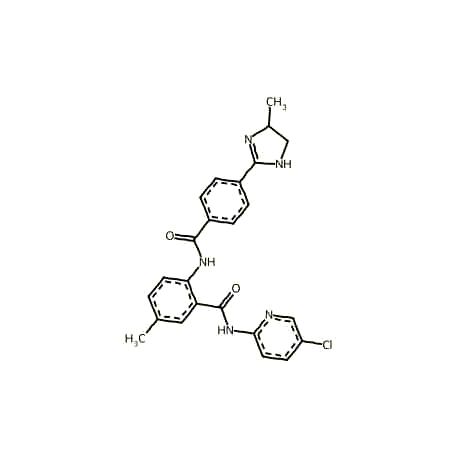 Cc1ccc(NC(=O)c2ccc(C3=NC(C)CN3)cc2)c(C(=O)Nc2ccc(Cl)cn2)c1